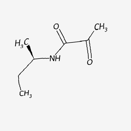 CC[C@@H](C)NC(=O)C(C)=O